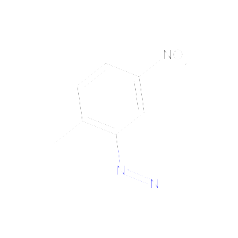 [CH2]c1ccc([N+](=O)[O-])cc1[N+]=[N-]